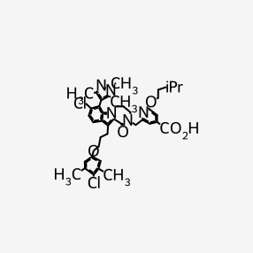 Cc1cc(OCCCc2c3n(c4c(-c5c(C)nn(C)c5C)c(Cl)ccc24)CCCN(Cc2cc(C(=O)O)cc(OCCC(C)C)n2)C3=O)cc(C)c1Cl